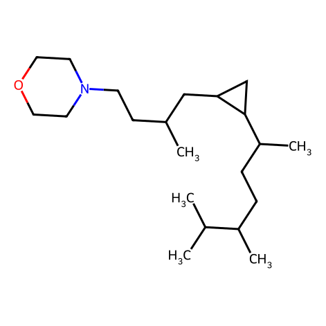 CC(CCN1CCOCC1)CC1CC1C(C)CCC(C)C(C)C